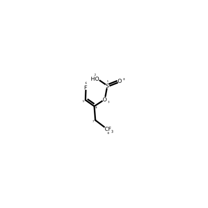 O=S(O)OC(=CF)CC(F)(F)F